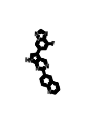 Fc1cc(-c2c[nH]c3nc(-c4ccc5ncccc5c4)ncc23)cn2ncnc12